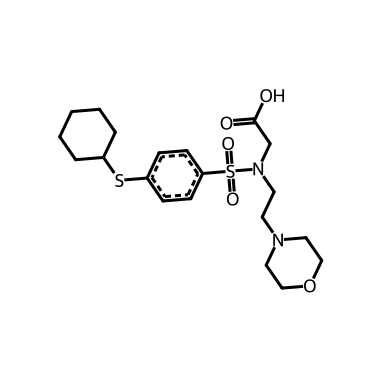 O=C(O)CN(CCN1CCOCC1)S(=O)(=O)c1ccc(SC2CCCCC2)cc1